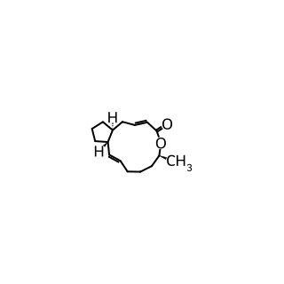 C[C@H]1CCC/C=C/[C@@H]2CCC[C@H]2C/C=C/C(=O)O1